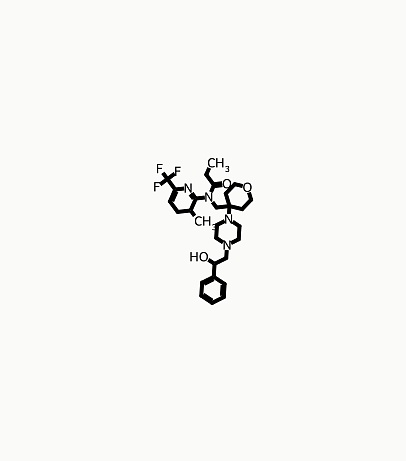 CCC(=O)N(CC1(N2CCN(CC(O)c3ccccc3)CC2)CCOCC1)C1=NC(C(F)(F)F)=CCC1C